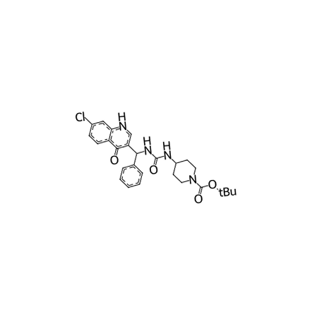 CC(C)(C)OC(=O)N1CCC(NC(=O)NC(c2ccccc2)c2c[nH]c3cc(Cl)ccc3c2=O)CC1